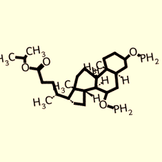 CC(C)OC(=O)CC[C@@H](C)[C@H]1CC[C@H]2[C@@H]3C(OP)C[C@@H]4CC(OP)CC[C@]4(C)[C@H]3CC[C@]12C